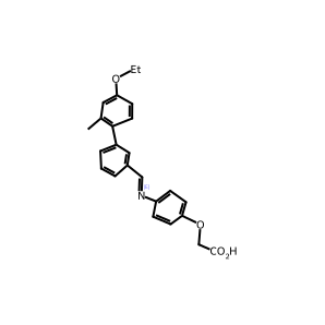 CCOc1ccc(-c2cccc(/C=N/c3ccc(OCC(=O)O)cc3)c2)c(C)c1